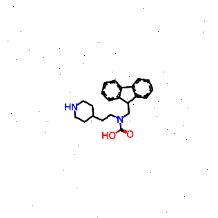 O=C(O)N(CCC1CCNCC1)CC1c2ccccc2-c2ccccc21